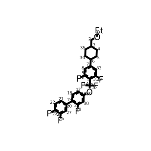 CCOCC1CCC(c2cc(F)c(C(F)(F)Oc3ccc(-c4ccc(F)c(F)c4)c(F)c3)c(F)c2)CC1